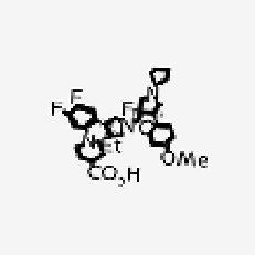 CC[C@H]1CN(C(=O)[C@]2(F)CN(C3CCCC3)C[C@H]2c2ccc(OC)cc2)C[C@@H]1c1cc(F)c(F)cc1N1CCC(C(=O)O)CC1